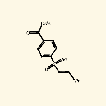 COC(=O)c1ccc(S(=N)(=O)CCC(C)C)cc1